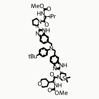 COC(=O)N[C@H](C(=O)N1CCC[C@H]1c1nc2ccc(CN(Cc3ccc4nc([C@@H]5C[Si](C)(C)CN5C(=O)[C@@H](NC(=O)OC)C5CCOCC5)[nH]c4c3)c3ccc(C(C)(C)C)cc3)cc2[nH]1)C(C)C